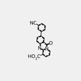 N#Cc1cccc(-c2ccc3nc4c(C(=O)O)cccn4c(=O)c3c2)c1